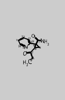 CCC(=O)C1CC1(C(N)=O)c1ccccn1